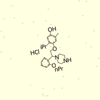 CCCOc1ccccc1C(COc1cc(C)c(O)cc1C(C)C)N1CCNCC1.Cl